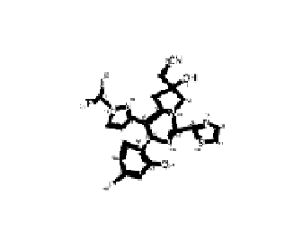 N#CCC1(O)CC2=C(c3ccn(C(F)F)n3)[C@H](c3ccc(F)cc3Cl)N=C(c3nccs3)N2C1